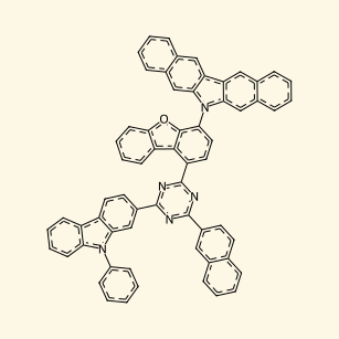 c1ccc(-n2c3ccccc3c3ccc(-c4nc(-c5ccc6ccccc6c5)nc(-c5ccc(-n6c7cc8ccccc8cc7c7cc8ccccc8cc76)c6oc7ccccc7c56)n4)cc32)cc1